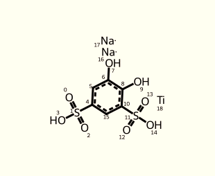 O=S(=O)(O)c1cc(O)c(O)c(S(=O)(=O)O)c1.[Na].[Na].[Ti]